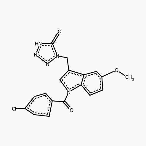 COc1ccc2c(c1)c(Cn1nn[nH]c1=O)cn2C(=O)c1ccc(Cl)cc1